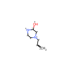 C=CCN1CC[N]C(O)C1